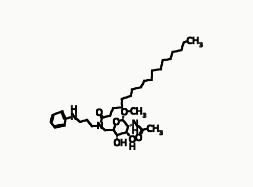 CCCCCCCCCCCCCCCCCC(=O)N(CCCNc1ccccc1)C[C@H]1O[C@H](OC)[C@H](NC(C)=O)[C@@H](O)[C@@H]1O